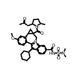 COc1ccc2c(c1)C1CC1(C(=O)N1C(C)CCC1CC(C)=O)Cn1c-2c(C2CCCCC2)c2ccc(C(=O)NS(=O)(=O)N(C)C)cc21